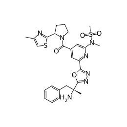 Cc1csc(C2CCCN2C(=O)c2cc(-c3nnc([C@](C)(N)Cc4ccccc4)o3)nc(N(C)S(C)(=O)=O)c2)n1